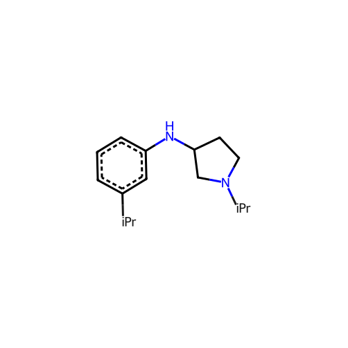 CC(C)c1cccc(NC2CCN(C(C)C)C2)c1